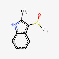 Cc1[nH]c2ccccc2c1[S+]([O-])C(F)(F)F